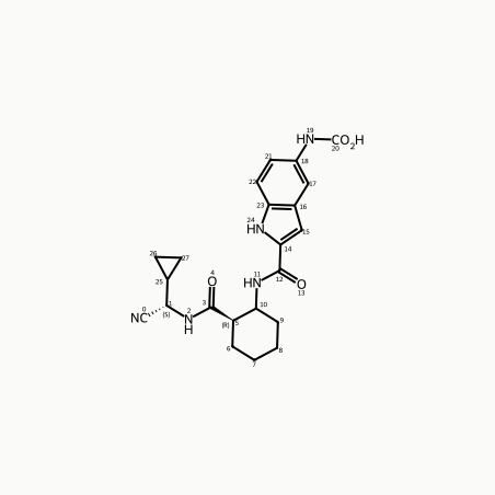 N#C[C@@H](NC(=O)[C@@H]1CCCCC1NC(=O)c1cc2cc(NC(=O)O)ccc2[nH]1)C1CC1